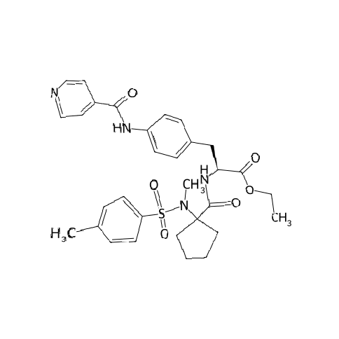 CCOC(=O)[C@H](Cc1ccc(NC(=O)c2ccncc2)cc1)NC(=O)C1(N(C)S(=O)(=O)c2ccc(C)cc2)CCCC1